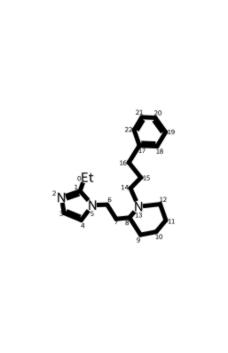 CCc1nccn1CCC1CCCCN1CCCc1ccccc1